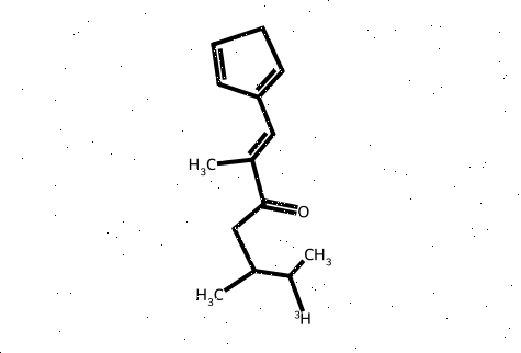 [3H]C(C)C(C)CC(=O)/C(C)=C/C1=CCC=C1